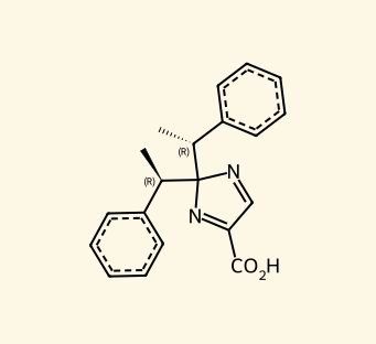 C[C@H](c1ccccc1)C1([C@H](C)c2ccccc2)N=CC(C(=O)O)=N1